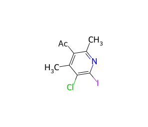 CC(=O)c1c(C)nc(I)c(Cl)c1C